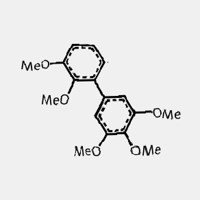 COc1cc[c]c(-c2cc(OC)c(OC)c(OC)c2)c1OC